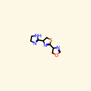 C1=NC(C2=NC(C3=NCCN3)CS2)CO1